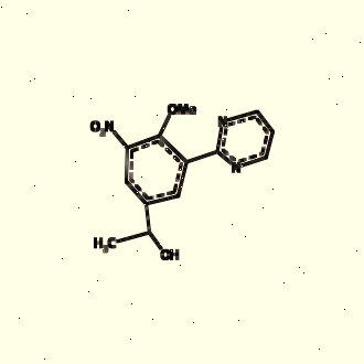 COc1c(-c2ncccn2)cc(C(C)O)cc1[N+](=O)[O-]